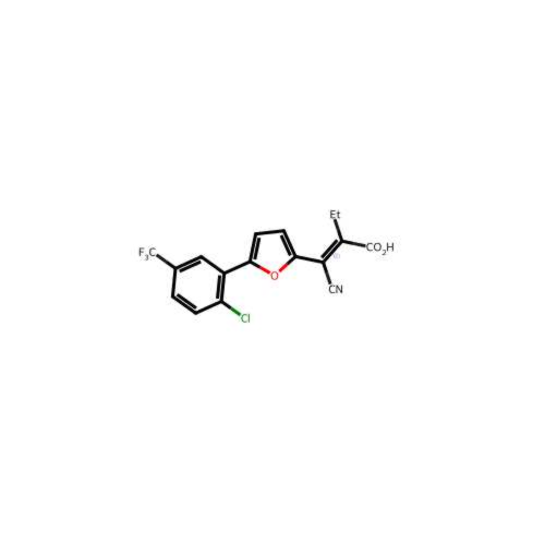 CC/C(C(=O)O)=C(/C#N)c1ccc(-c2cc(C(F)(F)F)ccc2Cl)o1